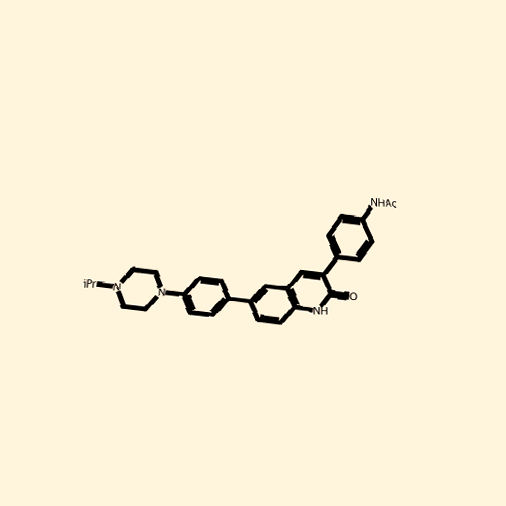 CC(=O)Nc1ccc(-c2cc3cc(-c4ccc(N5CCN(C(C)C)CC5)cc4)ccc3[nH]c2=O)cc1